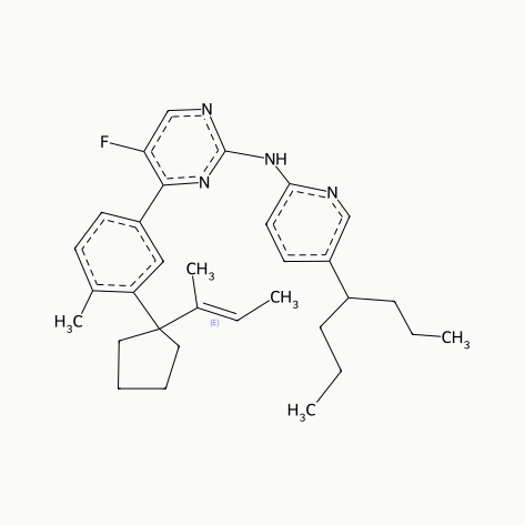 C/C=C(\C)C1(c2cc(-c3nc(Nc4ccc(C(CCC)CCC)cn4)ncc3F)ccc2C)CCCC1